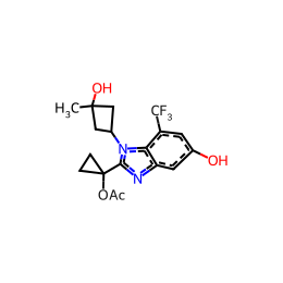 CC(=O)OC1(c2nc3cc(O)cc(C(F)(F)F)c3n2C2CC(C)(O)C2)CC1